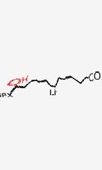 CCCCCCC(O)CCCCCCCCCCC(=O)O.[Li]